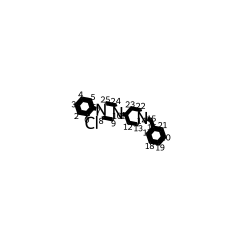 Clc1ccccc1N1CCN(C2CCN(Cc3ccccc3)CC2)CC1